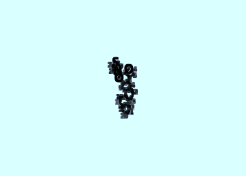 O=C(c1occc1[C@@H]1CCc2c(ccc3c2ccc2ccccc23)C1)N1C=CSC1